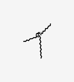 CCCCCCCCCCCCC1N(CCCCCCCC)C=CN1CCCCCCCC